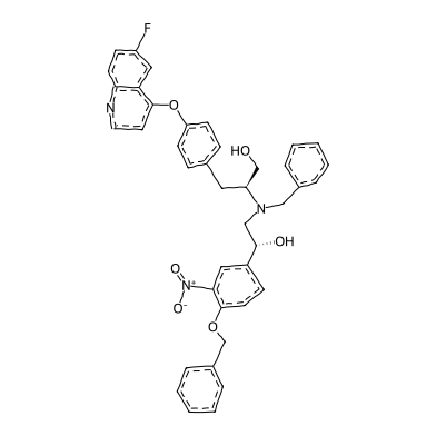 O=[N+]([O-])c1cc([C@@H](O)CN(Cc2ccccc2)[C@H](CO)Cc2ccc(Oc3ccnc4ccc(F)cc34)cc2)ccc1OCc1ccccc1